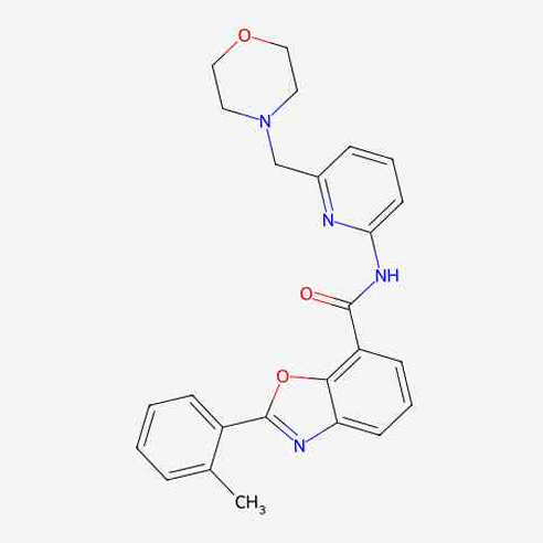 Cc1ccccc1-c1nc2cccc(C(=O)Nc3cccc(CN4CCOCC4)n3)c2o1